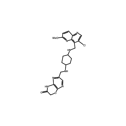 COc1ccc2ncc(Cl)c(CNC3CCC(NCc4cnc5c(n4)NC(=O)CO5)CC3)c2n1